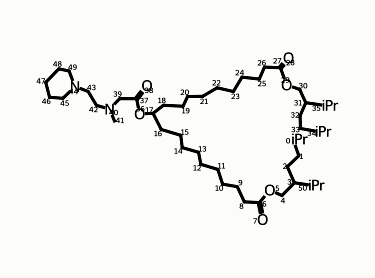 CC(C)CCC(COC(=O)CCCCCCCCCC(CCCCCCCCCC(=O)OCC(CCC(C)C)C(C)C)OC(=O)CN(C)CCN1CCCCC1)C(C)C